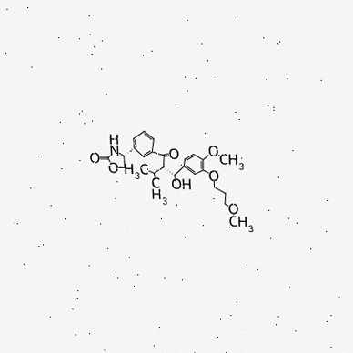 COCCCOc1cc(C(O)[C@@H](C(=O)c2cccc([C@@H]3COC(=O)N3)c2)C(C)C)ccc1OC